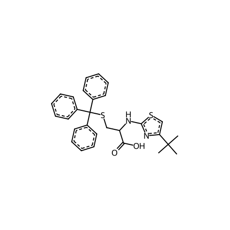 CC(C)(C)c1csc(NC(CSC(c2ccccc2)(c2ccccc2)c2ccccc2)C(=O)O)n1